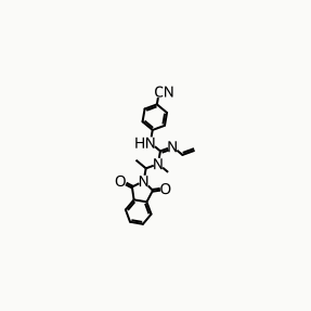 C=C/N=C(/Nc1ccc(C#N)cc1)N(C)C(C)N1C(=O)c2ccccc2C1=O